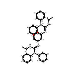 CC(C)N/C(=N/c1cccc(/N=C(\NC(C)C)P(c2ccccc2)c2ccccc2)c1)P(c1ccccc1)c1ccccc1